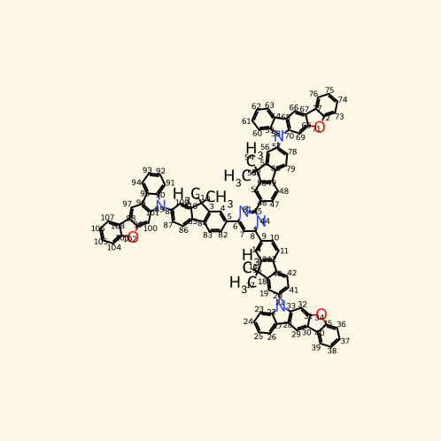 CC1(C)c2cc(-c3cc(-c4ccc5c(c4)C(C)(C)c4cc(-n6c7ccccc7c7cc8c(cc76)oc6ccccc68)ccc4-5)nc(-c4ccc5c(c4)C(C)(C)c4cc(-n6c7ccccc7c7cc8c(cc76)oc6ccccc68)ccc4-5)n3)ccc2-c2ccc(-n3c4ccccc4c4cc5c(cc43)oc3ccccc35)cc21